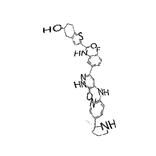 C[C@@]1(c2ccc(Nc3cc(-c4ccc(F)c(NC(=O)c5cc6c(s5)CC[C@H](O)C6)c4)n[nH]c3=O)nc2)CCCN1